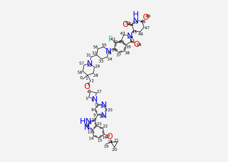 CC1(COC2CN(c3cc(-c4[nH]nc5ccc(OC6(C)CC6)cc45)ncn3)C2)CCN(CC2CCN(c3ccc4c(c3F)CN(C3CCC(=O)NC3=O)C4=O)CC2)CC1